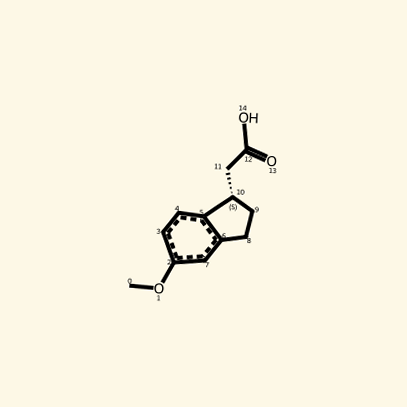 COc1ccc2c(c1)CC[C@H]2CC(=O)O